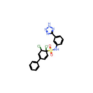 O=S(=O)(Nc1cccc(-c2nn[nH]n2)c1)C1(Cl)C=CC(c2ccccc2)=CC1Cl